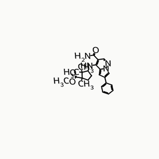 COC(=O)C1(C)CCC(Nc2c(C(N)=O)cnn3cc(-c4ccccc4)cc23)C1(C)C